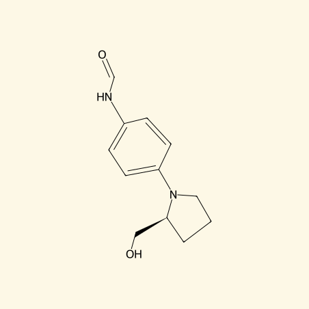 O=CNc1ccc(N2CCC[C@H]2CO)cc1